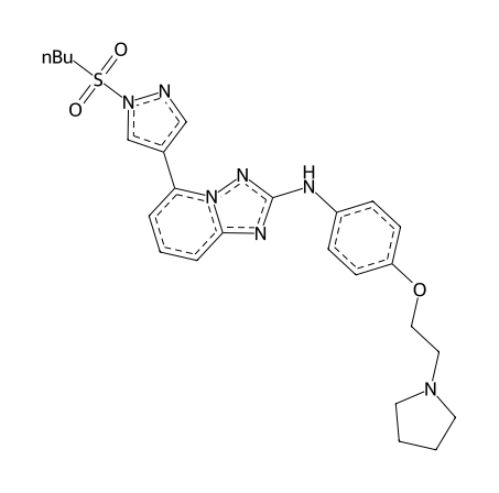 CCCCS(=O)(=O)n1cc(-c2cccc3nc(Nc4ccc(OCCN5CCCC5)cc4)nn23)cn1